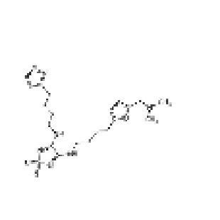 CN(C)Cc1ccc(CSCCNC2=NS(=O)(=O)N=C2NCCSCc2ccon2)o1